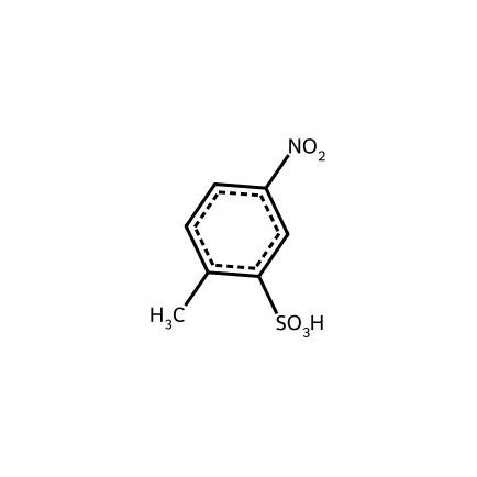 Cc1ccc([N+](=O)[O-])cc1S(=O)(=O)O